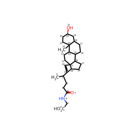 CC(CCC(=O)NCC(=O)O)C1=CC23CCC4C(CCC5C[C@H](O)CCC54C)C2CCC13